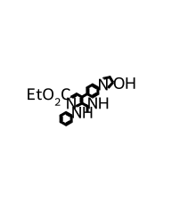 CCOC(=O)c1cc(-c2ccc(N3CCC(O)C3)cc2)c(C(C)=N)c(Nc2ccccc2)n1